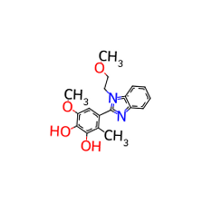 COCCn1c(-c2cc(OC)c(O)c(O)c2C)nc2ccccc21